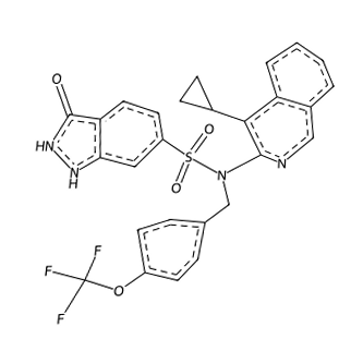 O=c1[nH][nH]c2cc(S(=O)(=O)N(Cc3ccc(OC(F)(F)F)cc3)c3ncc4ccccc4c3C3CC3)ccc12